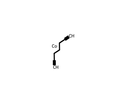 C#CCCCC#C.[Co]